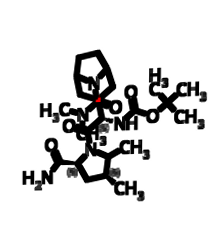 CC1[C@@H](C)C[C@@H](C(N)=O)N1C(=O)[C@@H](NC(=O)OC(C)(C)C)C1CC2CCC(C1)N2C(=O)N(C)C